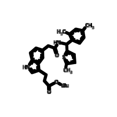 Cc1ccc(C(NC(=O)Cc2ccc3[nH]cc(CCC(=O)OC(C)(C)C)c3c2)c2ccc(C)s2)c(C)c1